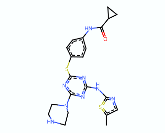 Cc1cnc(Nc2nc(Sc3ccc(NC(=O)C4CC4)cc3)nc(N3CCNCC3)n2)s1